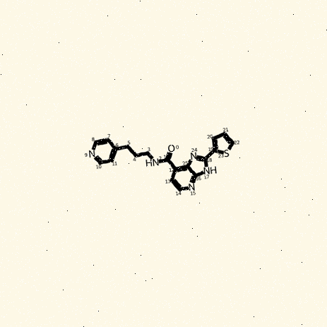 O=C(NCCCc1ccncc1)c1ccnc2[nH]c(-c3cccs3)nc12